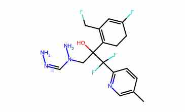 Cc1ccc(C(F)(F)C(O)(CN(N)/C=N\N)C2=C(CF)C=C(F)CC2)nc1